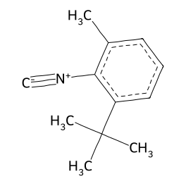 [C-]#[N+]c1c(C)cccc1C(C)(C)C